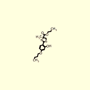 CCCCOc1ccc(C2=N[C@@](C)(C(=O)OCCC)CS2)c(O)c1